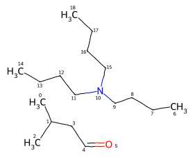 CC(C)CC=O.CCCCN(CCCC)CCCC